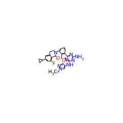 CCn1cc(Nc2nc(N)nc(-c3cccc(N4CCc5cc(C6CC6)cc(F)c5C4=O)c3CO)n2)cn1